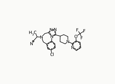 CC(C#N)N1Cc2cc(Cl)ccc2-n2c(nnc2C2CCN(c3ncccc3OC(F)(F)F)CC2)C1